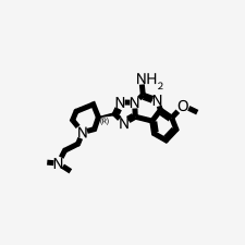 COc1cccc2c1nc(N)n1nc([C@@H]3CCCN(CCN(C)C)C3)nc21